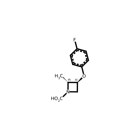 C[C@@H]1[C@@H](Oc2ccc(F)cc2)CN1C(=O)O